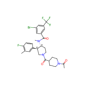 CC(=O)N1CCC(C(=O)N2CC[C@@H](N(C)C(=O)c3cc(Br)cc(C(F)(F)F)c3)[C@H](c3ccc(F)c(C)c3)C2)CC1